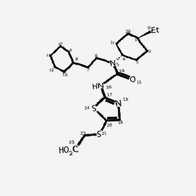 CC[C@H]1CC[C@H](N(CCC2CCCCC2)C(=O)Nc2ncc(SCC(=O)O)s2)CC1